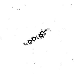 CC1CCC(C2CCC(COc3cc(F)c4c(F)c(C#CC(F)(F)F)c(F)cc4c3)CC2)OC1